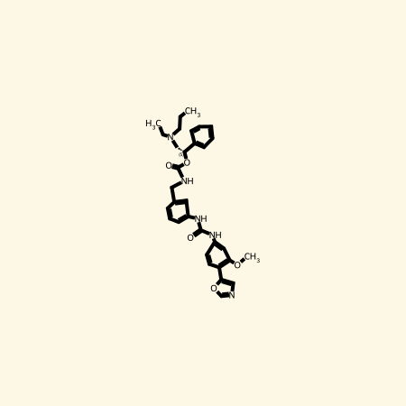 CCCN(CC)C[C@@H](OC(=O)NCc1cccc(NC(=O)Nc2ccc(-c3cnco3)c(OC)c2)c1)c1ccccc1